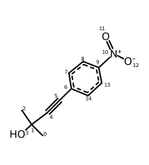 CC(C)(O)C#Cc1ccc([N+](=O)[O-])cc1